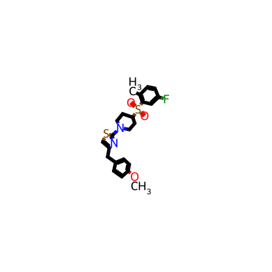 COc1ccc(Cc2csc(N3CCC(S(=O)(=O)c4cc(F)ccc4C)CC3)n2)cc1